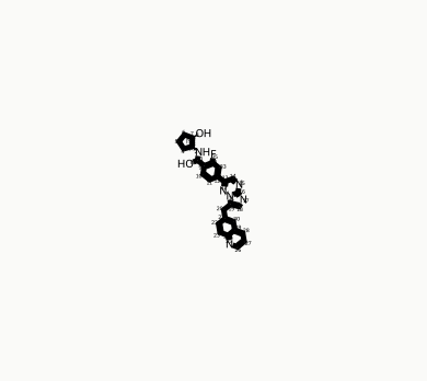 OC(N[C@H]1CCC[C@@H]1O)c1ccc(-c2cnc3ncc(Cc4ccc5ncccc5c4)n3n2)cc1F